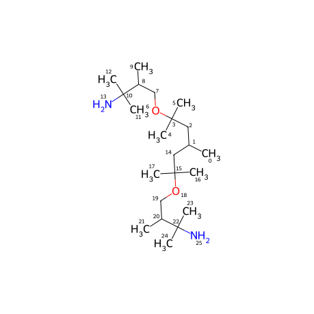 CC(CC(C)(C)OCC(C)C(C)(C)N)CC(C)(C)OCC(C)C(C)(C)N